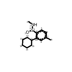 CN[S+]([O-])c1ccc(C)cc1C1CCCCC1